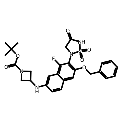 CC(C)(C)OC(=O)N1CC(Nc2ccc3cc(OCc4ccccc4)c(N4CC(=O)NS4(=O)=O)c(F)c3c2)C1